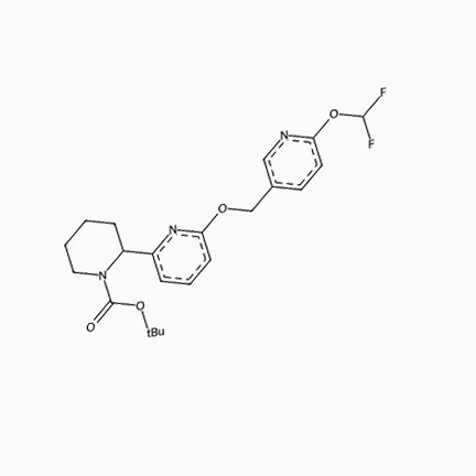 CC(C)(C)OC(=O)N1CCCCC1c1cccc(OCc2ccc(OC(F)F)nc2)n1